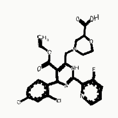 CCOC(=O)C1=C(CN2CCOC(C(=O)O)C2)NC(c2ncccc2F)=NC1c1ccc(Cl)cc1Cl